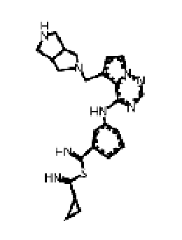 N=C(SC(=N)C1CC1)c1cccc(Nc2ncnn3ccc(CN4CC5CNCC5C4)c23)c1